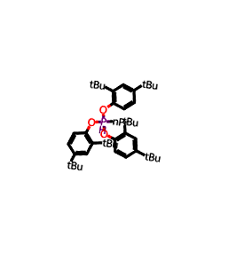 CCC[PH](Oc1ccc(C(C)(C)C)cc1C(C)(C)C)(Oc1ccc(C(C)(C)C)cc1C(C)(C)C)Oc1ccc(C(C)(C)C)cc1C(C)(C)C